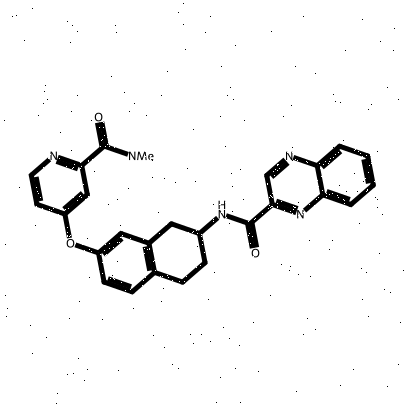 CNC(=O)c1cc(Oc2ccc3c(c2)CC(NC(=O)c2cnc4ccccc4n2)CC3)ccn1